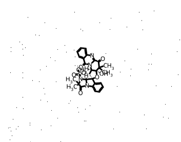 CC1(C)C(=O)N2c3ccccc3[C@@]3(C[C@H]4n5c(nc6ccccc6c5=O)C(=O)C(C)(C)[C@@]4(O)O3)[C@@H]2N1S(C)(=O)=O